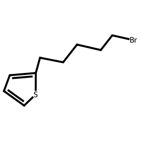 BrCCCCCc1cccs1